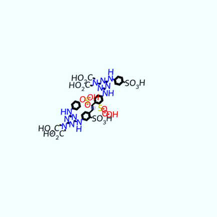 O=C(O)CN(CC(=O)O)c1nc(Nc2ccc(S(=O)(=O)O)cc2)nc(Nc2ccc(/C=C/c3ccc(Nc4nc(Nc5ccc(OS(=O)O)cc5)nc(N(CC(=O)O)CC(=O)O)n4)cc3S(=O)(=O)O)c(SOOO)c2)n1